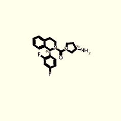 N[C@@H]1CCN(C(=O)N2CCc3ccccc3[C@@H]2c2ccc(F)cc2F)C1